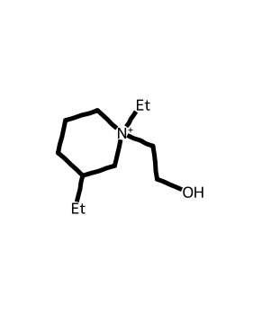 CCC1CCC[N+](CC)(CCO)C1